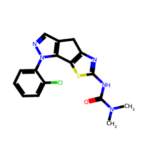 CN(C)C(=O)Nc1nc2c(s1)-c1c(cnn1-c1ccccc1Cl)C2